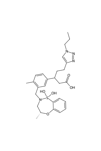 CCCn1cc(CCC(CC(=O)O)c2ccc(C)c(CN3C[C@@H](C)Oc4ccccc4S3(O)O)c2)nn1